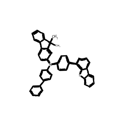 CC1(C)c2ccccc2-c2ccc(N(c3ccc(-c4ccccc4)cc3)c3ccc(-c4cccc5c4sc4ccccc45)cc3)cc21